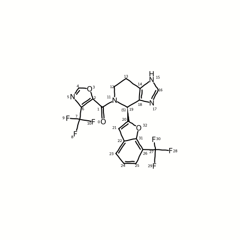 O=C(c1ocnc1C(F)(F)F)N1CCc2[nH]cnc2[C@H]1c1cc2cccc(C(F)(F)F)c2o1